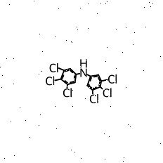 Clc1cc(Nc2cc(Cl)c(Cl)c(Cl)c2)cc(Cl)c1Cl